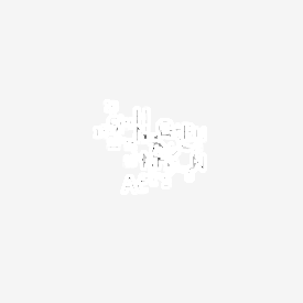 CC(=O)[C@H](Cc1cccnc1)NC[C@H](C[Si](C)(C)C)NC(=O)OC(C)(C)C